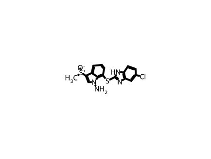 C[S+]([O-])c1cn(N)c2c(Sc3nc4cc(Cl)ccc4[nH]3)cccc12